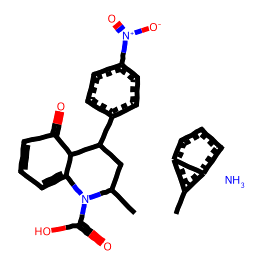 CC1CC(c2ccc([N+](=O)[O-])cc2)C2C(=O)C=CC=C2N1C(=O)O.Cc1c2cccc1-2.N